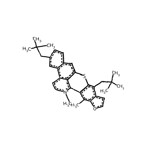 Cc1c2c(c(CC(C)(C)C)c3ccoc13)Sc1cc3ccc(CC(C)(C)C)cc3c3cc[n+](C)c-2c13